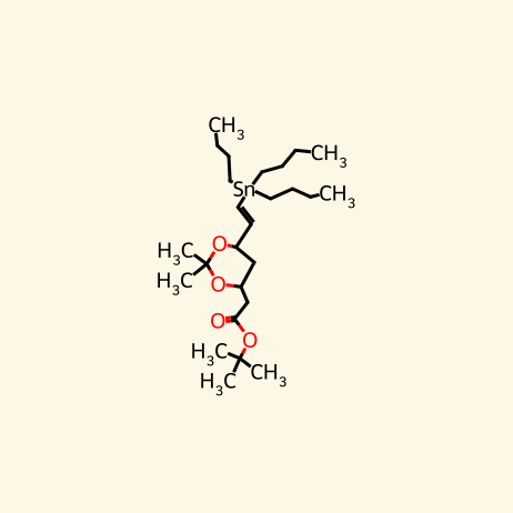 CCC[CH2][Sn](/[CH]=C/C1CC(CC(=O)OC(C)(C)C)OC(C)(C)O1)([CH2]CCC)[CH2]CCC